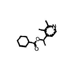 Cc1nccc(C(C)OC(=O)C2CCCCC2)c1C